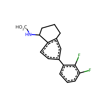 O=C(O)NC1CCCc2cc(-c3cccc(F)c3F)ccc21